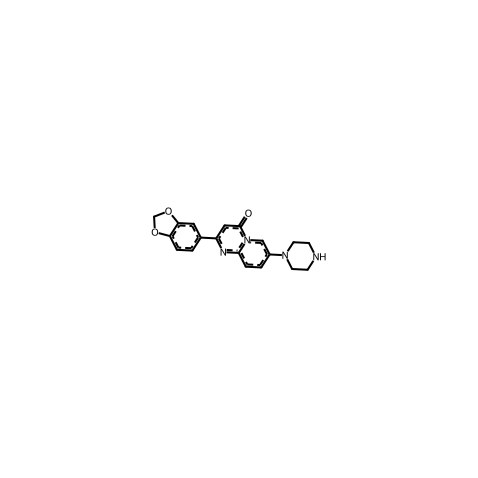 O=c1cc(-c2ccc3c(c2)OCO3)nc2ccc(N3CCNCC3)cn12